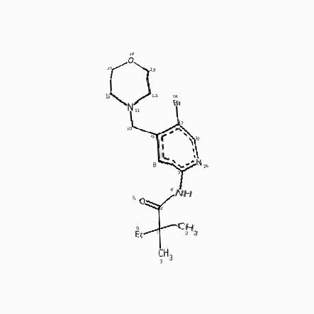 CCC(C)(C)C(=O)Nc1cc(CN2CCOCC2)c(Br)cn1